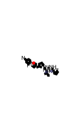 CC/C(C)=C1/N=C(N2CCCC(CN3CCN(c4ccc(C#N)cc4F)CC3)C2)N=C(N)N1/N=C(\C)c1ccco1